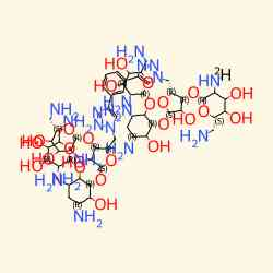 [2H]NC1C(O)C(O)[C@H](CN)O[C@@H]1O[C@@H]1C(O)[C@H](O[C@H]2C(O[C@H]3OC(CN)C(O)[C@H](O)C3N)C(N)C[C@@H](N)C2O)O[C@@H]1Cn1cc(-c2cccc(-c3cn(C[C@H]4O[C@@H](O[C@H]5C(O[C@H]6OC(CN)C(O)[C@H](O)C6N)C(N)C[C@@H](N)C5O)C(O)[C@H]4O[C@H]4O[C@@H](CN)C(O)C(O)C4N)nn3)c2)nn1